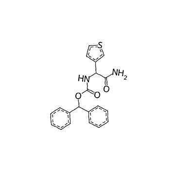 NC(=O)C(NC(=O)OC(c1ccccc1)c1ccccc1)c1ccsc1